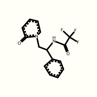 O=C(NC(Cn1ccccc1=O)c1ccccc1)C(F)(F)F